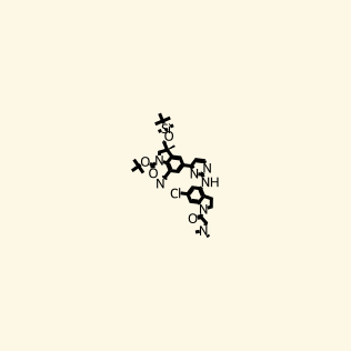 CN(C)CC(=O)N1CCc2c(Nc3nccc(-c4cc(C#N)c5c(c4)[C@@](C)(CO[Si](C)(C)C(C)(C)C)CN5C(=O)OC(C)(C)C)n3)cc(Cl)cc21